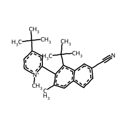 Cc1cc2ccc(C#N)cc2c(C(C)(C)C)c1-c1cc(C(C)(C)C)cc[n+]1C